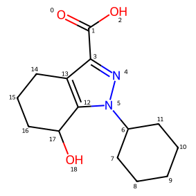 O=C(O)c1nn(C2CCCCC2)c2c1CCCC2O